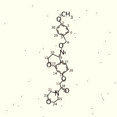 COc1ccc(CON=C2CCOc3cc(OCC(=O)N4CCOCC4)ccc32)cc1